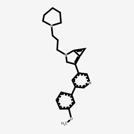 COc1cccc(-c2cncc(C3=C4C=C4N(CCCN4CCCCC4)C3)c2)c1